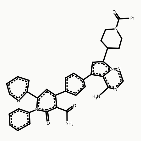 CC(C)C(=O)N1CCC(c2cc(-c3ccc(-c4cc(-c5ccccn5)n(-c5ccccc5)c(=O)c4C(N)=O)cc3)c3c(N)ncnn23)CC1